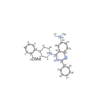 COc1ccccc1C1CCN(c2nc(-c3ccccc3)nc3ccc(N(C)C)cc23)CC1